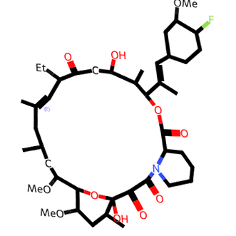 CCC1/C=C(\C)CC(C)CC(OC)C2OC(O)(C(=O)C(=O)N3CCCCC3C(=O)OC(C(C)=CC3CCC(F)C(OC)C3)C(C)C(O)CC1=O)C(C)CC2OC